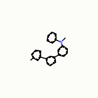 Cc1cccc(-c2cccc(-c3cccc(N(C)c4ccccc4)c3)c2)c1